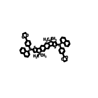 C[Si]1(C)c2cc3cc4c(cc3cc2-c2sc(N(c3ccc(C5OCCO5)cc3)c3cccc5ccccc35)cc21)[Si](C)(C)c1cc(N(c2ccc(C3OCCO3)cc2)c2cccc3ccccc23)sc1-4